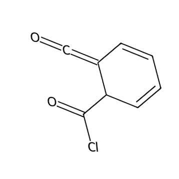 O=C=C1C=CC=CC1C(=O)Cl